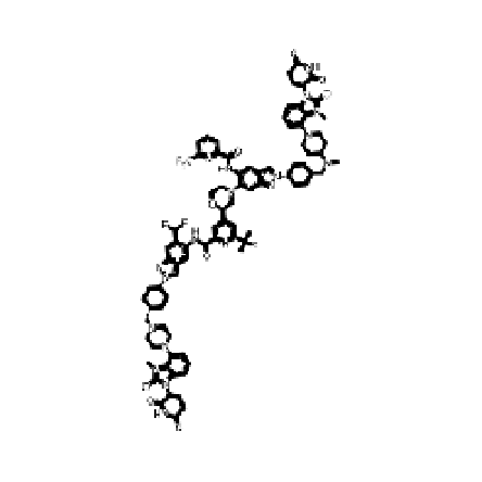 CN(C[C@H]1CC[C@H](n2cc3cc(NC(=O)c4cccc(C(F)(F)F)n4)c(N4CCOC(c5cc(C(=O)Nc6cc7cn([C@H]8CC[C@H](CN9CCN(c%10cccc%11c%10n(C)c(=O)n%11C%10CCC(=O)NC%10=O)CC9)CC8)nc7cc6C(F)F)nc(C(C)(C)F)c5)C4)cc3n2)CC1)C1CCN(c2cccc3c2n(C)c(=O)n3C2CCC(=O)NC2=O)CC1